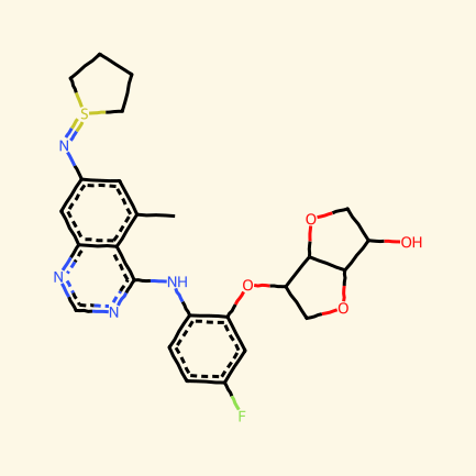 Cc1cc(N=S2CCCC2)cc2ncnc(Nc3ccc(F)cc3OC3COC4C(O)COC34)c12